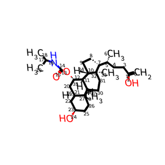 C=C(O)CC[C@@H](C)[C@H]1CC[C@H]2[C@@H]3[C@@H](OC(=O)NC(C)C)C[C@@H]4C[C@H](O)CC[C@]4(C)[C@H]3CC[C@]12C